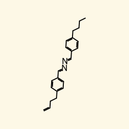 C=CCCc1ccc(/C=N/N=C/c2ccc(CCCC)cc2)cc1